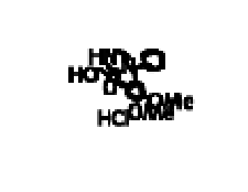 COc1cc2c(cc1OC)C(c1ccccc1)N1CCNCC1(C(=O)CO)C2.Cl